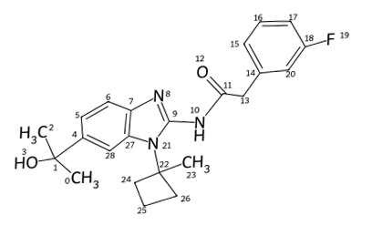 CC(C)(O)c1ccc2nc(NC(=O)Cc3cccc(F)c3)n(C3(C)CCC3)c2c1